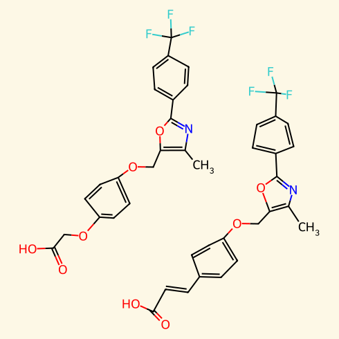 Cc1nc(-c2ccc(C(F)(F)F)cc2)oc1COc1ccc(C=CC(=O)O)cc1.Cc1nc(-c2ccc(C(F)(F)F)cc2)oc1COc1ccc(OCC(=O)O)cc1